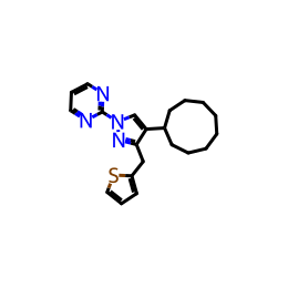 c1cnc(-n2cc(C3CCCCCCCC3)c(Cc3cccs3)n2)nc1